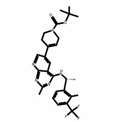 Cc1nc(N[C@H](C)c2cccc(C(F)(F)F)c2C)c2cc(C3=CCN(C(=O)OC(C)(C)C)CC3)cnc2n1